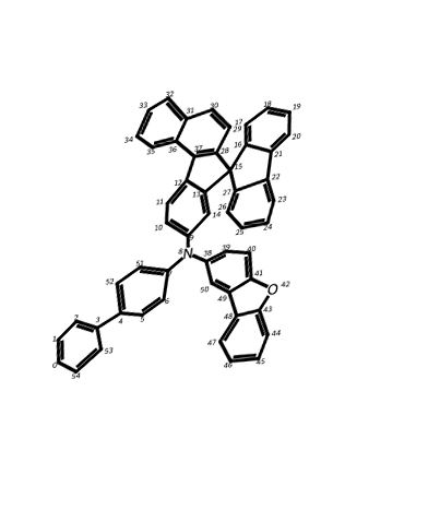 c1ccc(-c2ccc(N(c3ccc4c(c3)C3(c5ccccc5-c5ccccc53)c3ccc5ccccc5c3-4)c3ccc4oc5ccccc5c4c3)cc2)cc1